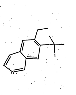 CCc1cc2ccncc2cc1C(C)(C)C